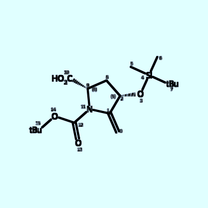 C=C1[C@@H](O[Si](C)(C)C(C)(C)C)C[C@@H](C(=O)O)N1C(=O)OC(C)(C)C